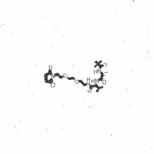 CC(C)[C@@H](NC(=O)[C@@H](C)NC(=O)C(C)(C)C)C(=O)NCCOCCOCCN1C(=O)C=CC1=O